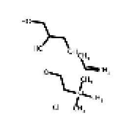 C=CC.C[N+](C)(C)CCO.OCC(O)CO.[Cl-]